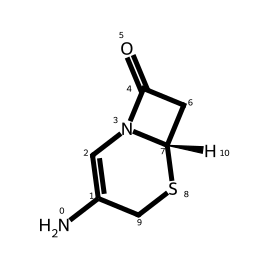 NC1=CN2C(=O)C[C@@H]2SC1